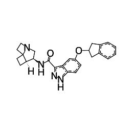 O=C(N[C@@H]1CN2CCC23CC[C@H]13)c1n[nH]c2ccc(OC3Cc4ccccc4C3)cc12